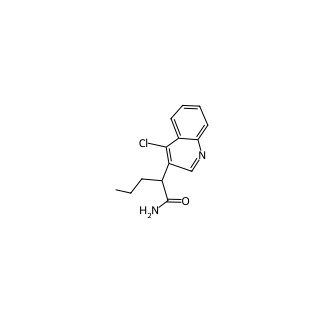 CCCC(C(N)=O)c1cnc2ccccc2c1Cl